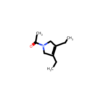 CCC1=C(CC)CN(C(C)=O)C1